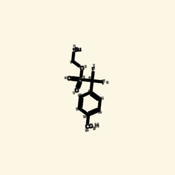 CC(C)(C)COS(=O)(=O)C(F)(F)c1ccc(C(=O)O)cc1